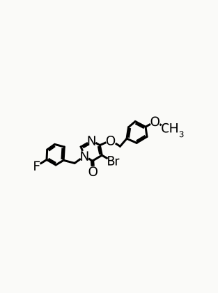 COc1ccc(COc2ncn(Cc3cccc(F)c3)c(=O)c2Br)cc1